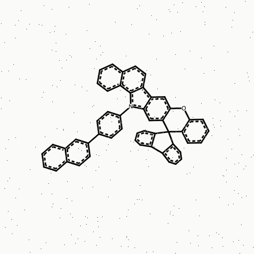 c1ccc2c(c1)Oc1cc3c4ccc5ccccc5c4n(-c4ccc(-c5ccc6ccccc6c5)cc4)c3cc1C21c2ccccc2-c2ccccc21